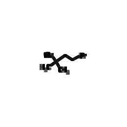 [CH2]C(C)(C)C(C)(C)CCC(C)C